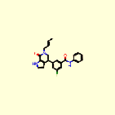 CC=CCn1cc(-c2cc(F)cc(C(=O)Nc3ccccc3)c2)c2cc[nH]c2c1=O